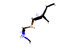 CC/C(C)=C/S/C=N\C